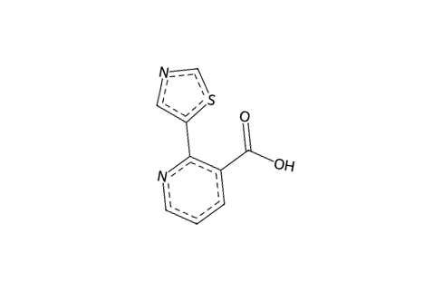 O=C(O)c1cccnc1-c1cncs1